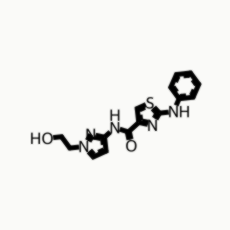 O=C(Nc1ccn(CCO)n1)c1csc(Nc2ccccc2)n1